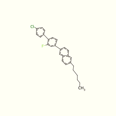 CCCCCCc1ccc2cc(-c3ccc(-c4ccc(Cl)cc4)c(F)c3)ccc2c1